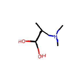 CC(C(O)O)N(C)C